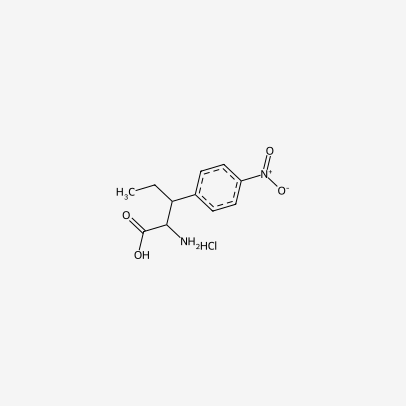 CCC(c1ccc([N+](=O)[O-])cc1)C(N)C(=O)O.Cl